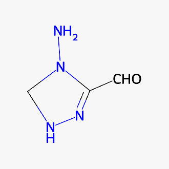 NN1CNN=C1C=O